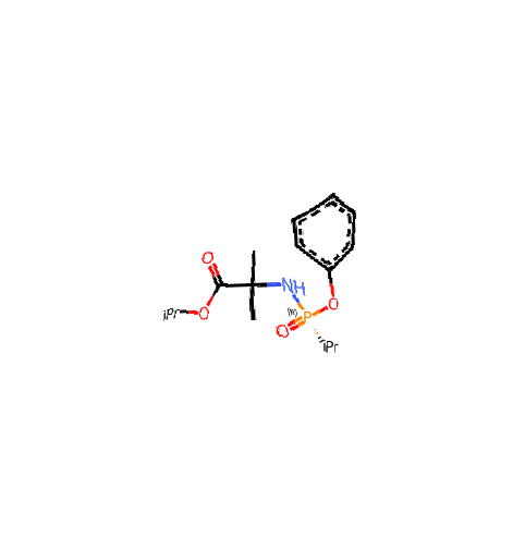 CC(C)OC(=O)C(C)(C)N[P@](=O)(Oc1ccccc1)C(C)C